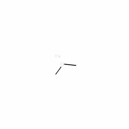 Br.[CH3][Al][CH3]